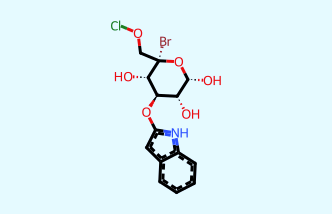 O[C@@H]1[C@@H](Oc2cc3ccccc3[nH]2)[C@H](O)[C@@](Br)(COCl)O[C@@H]1O